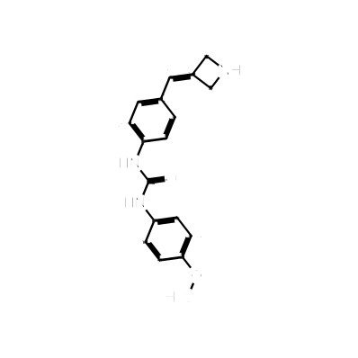 COc1ccc(NC(=O)Nc2ccc(C=C3CNC3)cc2)cc1